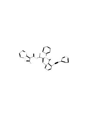 Cc1nn2cccnc2c1C(=O)NC(C)c1cc2cccc(C#Cc3cccnc3)c2c(=O)n1-c1ccccc1